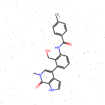 Cn1cc(-c2cccc(NC(=O)c3ccc(C(F)(F)F)cc3)c2CO)c2cc[nH]c2c1=O